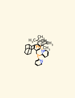 C[Si](C)(C)c1cc(CP(c2ccccn2)c2ccccn2)c(C23CC4CC(CC(C4)C2CP)C3)cc1[Si](C)(C)C